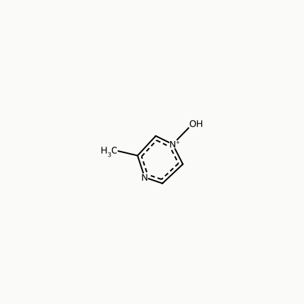 Cc1c[n+](O)ccn1